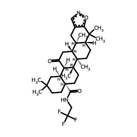 CC1(C)CC[C@]2(C(=O)NCC(F)(F)F)CC[C@]3(C)[C@H](C(=O)C[C@@H]4[C@@]5(C)Cc6cnoc6C(C)(C)[C@@H]5CC[C@]43C)[C@@H]2C1